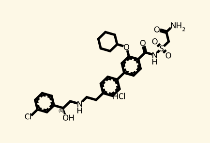 Cl.NC(=O)CS(=O)(=O)NC(=O)c1ccc(-c2ccc(CCNC[C@@H](O)c3cccc(Cl)c3)cc2)cc1OC1CCCCC1